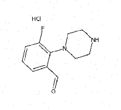 Cl.O=Cc1cccc(F)c1N1CCNCC1